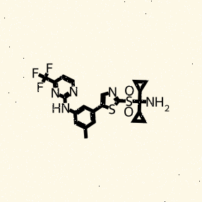 Cc1cc(Nc2nccc(C(F)(F)F)n2)cc(-c2cnc(S(=O)(=O)C(N)(C3CC3)C3CC3)s2)c1